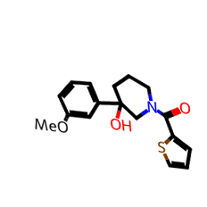 COc1cccc(C2(O)CCCN(C(=O)c3cccs3)C2)c1